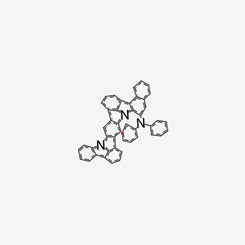 c1ccc(N(c2ccccc2)c2cc3ccccc3c3c4cccc5c6cc7c(cc6n(c23)c54)c2cccc3c4ccccc4n7c32)cc1